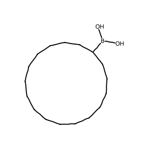 OB(O)C1CCCCCCCCCCCCCCCC1